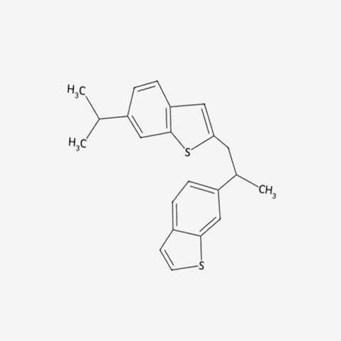 CC(C)c1ccc2cc(CC(C)c3ccc4ccsc4c3)sc2c1